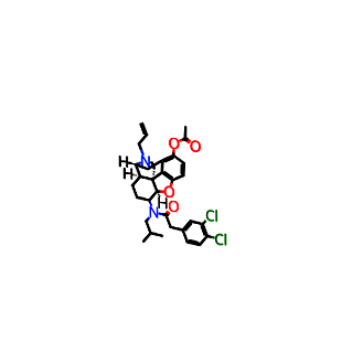 C=CCN1CC[C@@]23c4c5ccc(OC(C)=O)c4C[C@@H]1[C@@H]2CC[C@H](N(CC(C)C)C(=O)Cc1ccc(Cl)c(Cl)c1)[C@@H]3O5